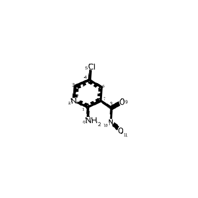 Nc1ncc(Cl)cc1C(=O)N=O